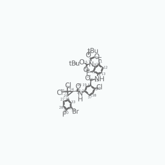 CC(C)(C)OC(=O)N(C(=O)OC(C)(C)C)c1c(F)ccc(NC(=O)c2cc(NC(=O)[C@H]3[C@H](c4ccc(F)c(Br)c4)C3(Cl)Cl)ccc2Cl)c1F